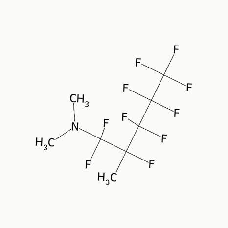 CN(C)C(F)(F)C(C)(F)C(F)(F)C(F)(F)C(F)(F)F